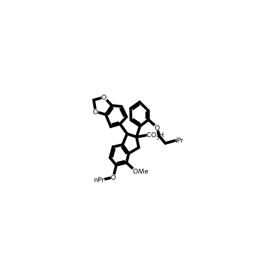 CCCOc1ccc2c(c1OC)CC(C(=O)O)(c1ccccc1OCCC(C)C)C2c1ccc2c(c1)OCO2